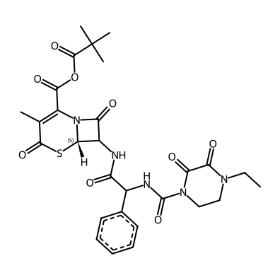 CCN1CCN(C(=O)NC(C(=O)NC2C(=O)N3C(C(=O)OC(=O)C(C)(C)C)=C(C)C(=O)S[C@@H]23)c2ccccc2)C(=O)C1=O